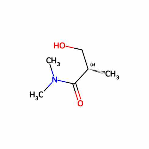 C[C@@H](CO)C(=O)N(C)C